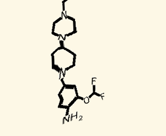 CCN1CCN(C2CCN(c3ccc(N)c(OC(F)F)c3)CC2)CC1